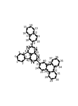 c1ccc2c(c1)-c1nc(-c3ccc4ccccc4c3)nc3nc(-c4ccc5c6ccccc6c6ccccc6c5c4)nc-2c13